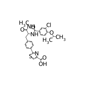 CNC(=O)C(Cc1ccc(-c2nc(C(=O)O)cs2)cc1)NC(=O)c1ccc(OC(C)C)c(Cl)c1